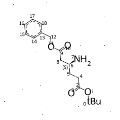 CC(C)(C)OC(=O)CC[C@H](N)CC(=O)OCc1ccccc1